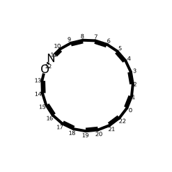 C1=CC=CC=CC=CC=CC=NOC=CC=CC=CC=CC=C1